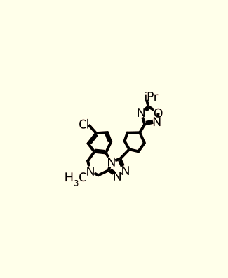 CC(C)c1nc(C2CCC(c3nnc4n3-c3ccc(Cl)cc3CN(C)C4)CC2)no1